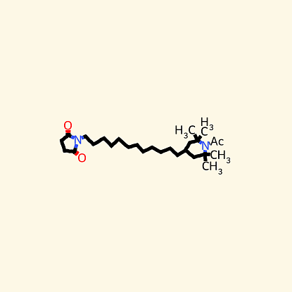 CC(=O)N1C(C)(C)CC(CCCCCCCCCCCCN2C(=O)CCC2=O)CC1(C)C